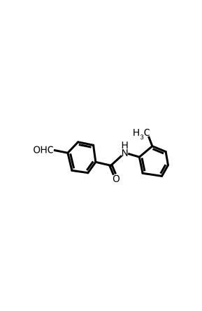 Cc1ccccc1NC(=O)c1ccc(C=O)cc1